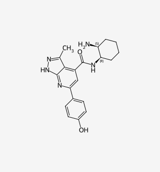 Cc1n[nH]c2nc(-c3ccc(O)cc3)cc(C(=O)N[C@@H]3CCCC[C@@H]3N)c12